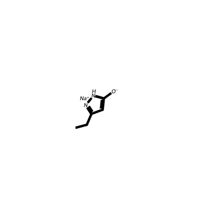 CCc1cc([O-])[nH]n1.[Na+]